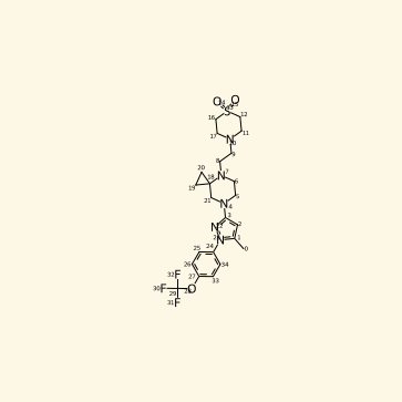 Cc1cc(N2CCN(CCN3CCS(=O)(=O)CC3)C3(CC3)C2)nn1-c1ccc(OC(F)(F)F)cc1